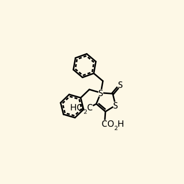 O=C(O)C1=C(C(=O)O)S(Cc2ccccc2)(Cc2ccccc2)C(=S)S1